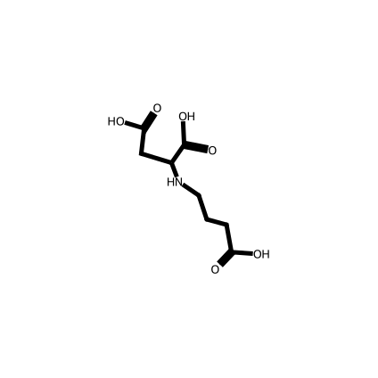 O=C(O)CCCNC(CC(=O)O)C(=O)O